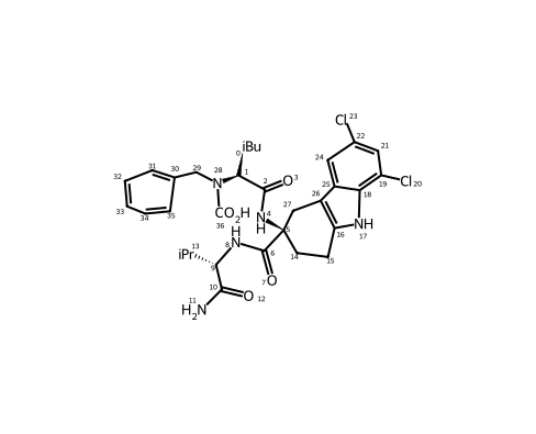 CC[C@H](C)[C@@H](C(=O)N[C@]1(C(=O)N[C@H](C(N)=O)C(C)C)CCc2[nH]c3c(Cl)cc(Cl)cc3c2C1)N(Cc1ccccc1)C(=O)O